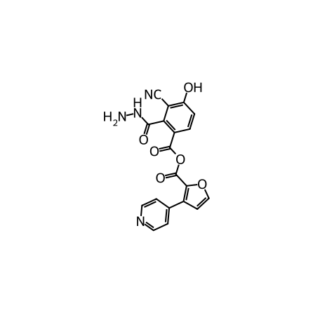 N#Cc1c(O)ccc(C(=O)OC(=O)c2occc2-c2ccncc2)c1C(=O)NN